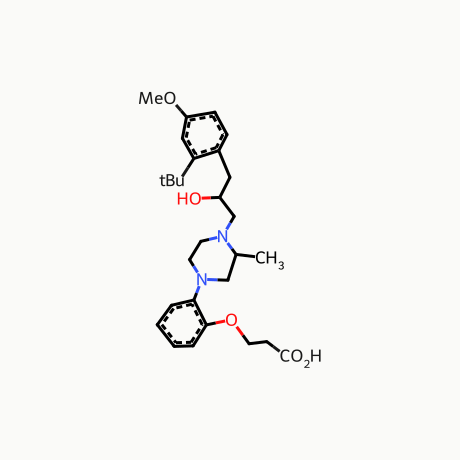 COc1ccc(CC(O)CN2CCN(c3ccccc3OCCC(=O)O)CC2C)c(C(C)(C)C)c1